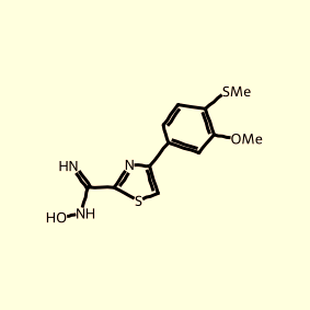 COc1cc(-c2csc(C(=N)NO)n2)ccc1SC